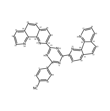 N#Cc1ccc(-c2nc(-c3ccc4ccc5cccnc5c4n3)nc(-c3ccc4ccc5cccnc5c4n3)n2)cc1